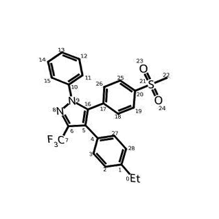 CCc1ccc(-c2c(C(F)(F)F)nn(-c3ccccc3)c2-c2ccc(S(C)(=O)=O)cc2)cc1